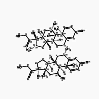 C[C@H]1C[C@@H]2[C@H]([C@@H](O)C[C@@]3(C)[C@H]2CC[C@]3(O)C(=O)CO)[C@@]2(C)C=CC(=O)C=C12.C[C@H]1C[C@H]2[C@@H]3CCC4=CC(=O)C=C[C@]4(C)[C@@]3(Cl)[C@@H](O)C[C@]2(C)[C@@]1(O)C(=O)CO